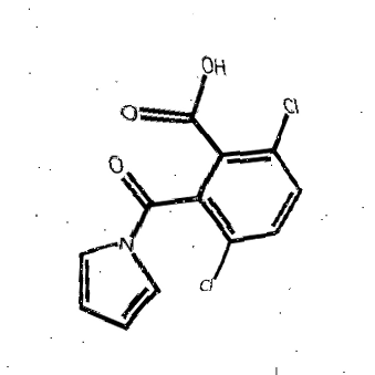 O=C(O)c1c(Cl)ccc(Cl)c1C(=O)n1cccc1